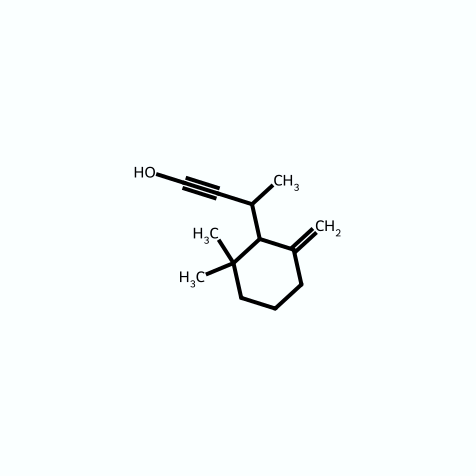 C=C1CCCC(C)(C)C1C(C)C#CO